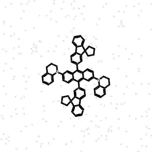 c1ccc2c(c1)CCCN2c1ccc2c(-c3ccc4c(c3)C3(CCCC3)c3ccccc3-4)c3cc(N4CCCc5ccccc54)ccc3c(-c3ccc4c(c3)C3(CCCC3)c3ccccc3-4)c2c1